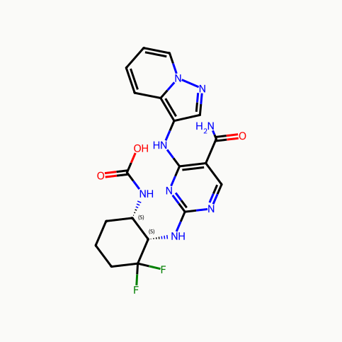 NC(=O)c1cnc(N[C@H]2[C@@H](NC(=O)O)CCCC2(F)F)nc1Nc1cnn2ccccc12